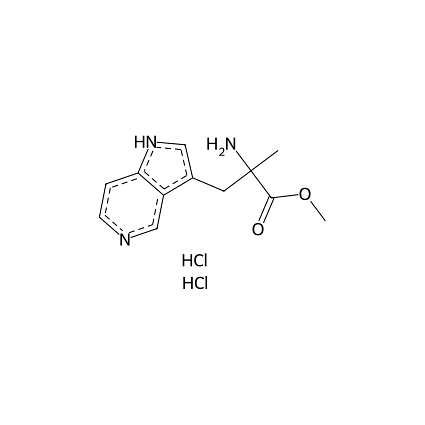 COC(=O)C(C)(N)Cc1c[nH]c2ccncc12.Cl.Cl